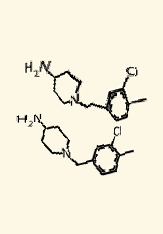 Cc1ccc(CN2CCC(N)CC2)cc1Cl.Cc1ccc(CN2CCC(N)CC2)cc1Cl